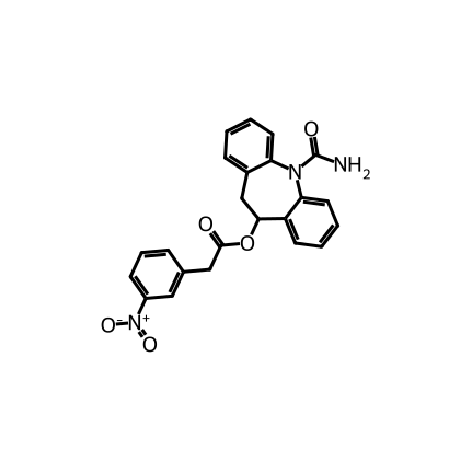 NC(=O)N1c2ccccc2CC(OC(=O)Cc2cccc([N+](=O)[O-])c2)c2ccccc21